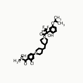 CC(C)Oc1cccc(C(O)(C(=O)N2CCC(CC3CCN(c4ccc(C(=O)N(C)C)c(Cl)c4)CC3)CC2)C(F)(F)F)c1